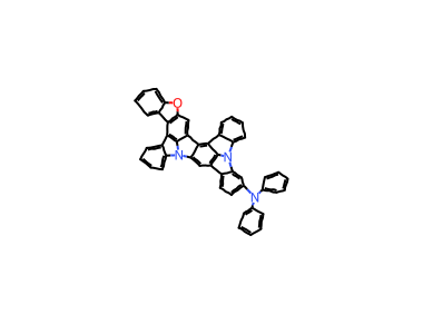 c1ccc(N(c2ccccc2)c2ccc3c4cc5c(c6cc7oc8ccccc8c7c7c8ccccc8n5c67)c5c6ccccc6n(c3c2)c45)cc1